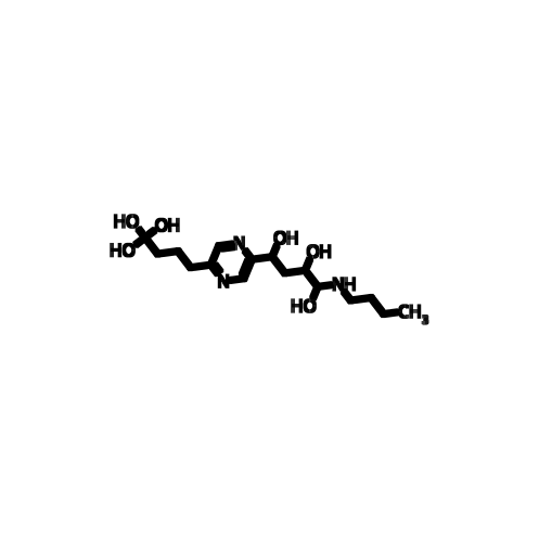 CCCCNC(O)C(O)CC(O)c1cnc(CCCC(O)(O)O)cn1